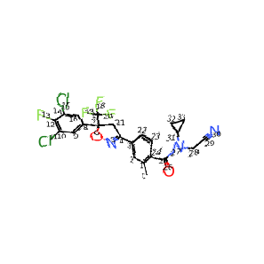 Cc1cc(C2=NOC(c3cc(Cl)c(F)c(Cl)c3)(C(F)(F)F)C2)ccc1C(=O)N(CC#N)C1CC1